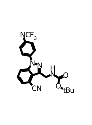 CC(C)(C)OC(=O)NCc1nn(-c2ccc(NC(F)(F)F)cc2)c2cccc(C#N)c12